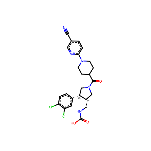 N#Cc1ccc(N2CCC(C(=O)N3C[C@H](CNC(=O)O)[C@H](c4ccc(Cl)c(Cl)c4)C3)CC2)nc1